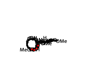 COCCOCCN1CCN(c2ncc(CNC(=O)O[C@@H]3CC[C@@H](C[C@@H](N)[C@@H]4C[C@@H](OC)[C@H](C)/C=C(\C)[C@@H](O)[C@@H](O)C(=O)[C@H](C)C[C@H](C)/C=C/C=C/C=C(\C)[C@@H](OC)C[C@@H]5CC[C@@H](C)[C@@](O)(O5)C(=O)C(=O)N5CCCC[C@H]5C(=O)O4)C[C@H]3OC)cn2)CC1